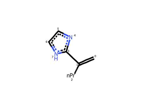 C=C(CCC)c1ncc[nH]1